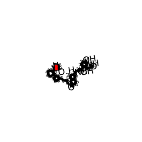 O=C(O)C1(c2cccc(CCCCn3c(=O)ccc4cc(CNC[C@H](O)c5ccc(O)c6[nH]c(=O)ccc56)ccc43)c2)CCCCC1C1CN2CCC1CC2